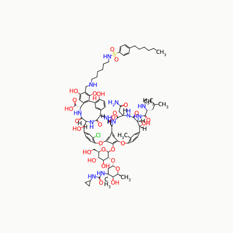 CCCCCCc1ccc(S(=O)(=O)NCCCCCCNCc2c(O)cc3c(c2O)-c2cc(ccc2O)[C@H]2NC(=O)[C@@H]4NC(=O)[C@H](CC(N)=O)NC(=O)[C@H](NC(=O)[C@@H](CC(C)C)NC)[C@H](O)c5ccc(c(C)c5)Oc5cc4cc(c5O[C@@H]4O[C@H](CO)[C@@H](O)[C@H](O)[C@H]4O[C@H]4C[C@](C)(NC(=O)NC5CC5)[C@H](O)[C@H](C)O4)Oc4ccc(cc4Cl)[C@@H](O)[C@H](NC2=O)C(=O)N[C@@H]3C(=O)O)cc1